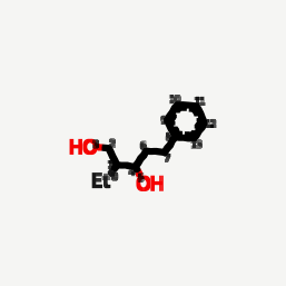 CCC(CO)C(O)CCc1ccccc1